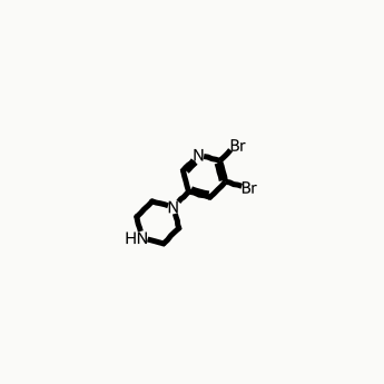 Brc1cc(N2CCNCC2)cnc1Br